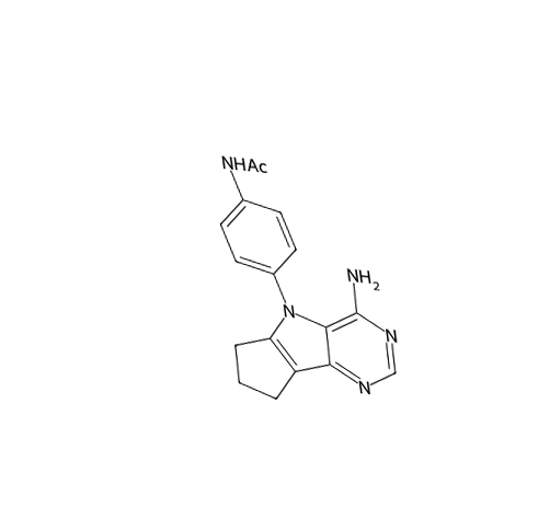 CC(=O)Nc1ccc(-n2c3c(c4ncnc(N)c42)CCC3)cc1